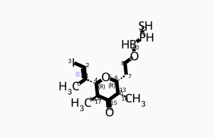 C/C(=C\I)[C@@H]1O[C@H](CCOBPS)[C@H](C)C(=O)[C@H]1C